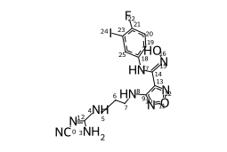 N#C/N=C(\N)NCCCNc1nonc1/C(=N/O)Nc1ccc(F)c(I)c1